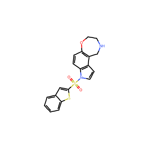 O=S(=O)(c1cc2ccccc2s1)n1ccc2c3c(ccc21)OCCNC3